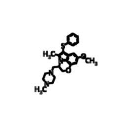 COc1cc2c3c(c1)c(Sc1ccccc1)c(C)n3C(CN1CCN(C)CC1)CO2